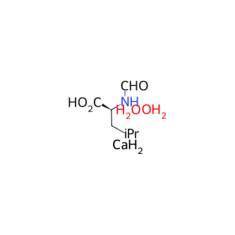 CC(C)C[C@H](NC=O)C(=O)O.O.O.[CaH2]